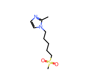 Cc1nccn1CCCCCS(C)(=O)=O